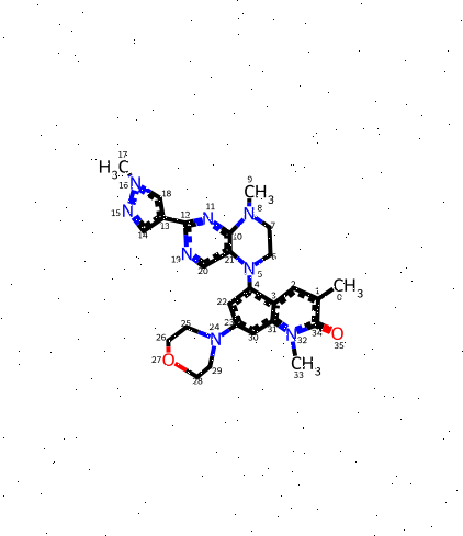 Cc1cc2c(N3CCN(C)c4nc(-c5cnn(C)c5)ncc43)cc(N3CCOCC3)cc2n(C)c1=O